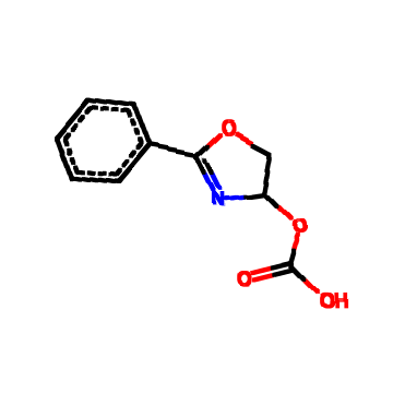 O=C(O)OC1COC(c2ccccc2)=N1